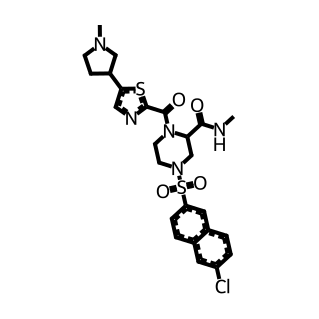 CNC(=O)C1CN(S(=O)(=O)c2ccc3cc(Cl)ccc3c2)CCN1C(=O)c1ncc(C2CCN(C)C2)s1